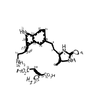 CC1NC(=O)NC1CCc1ccc2[nH]cc(CCN)c2c1.O.O=C(O)C=CC(=O)O